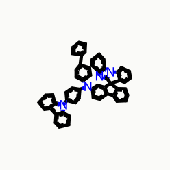 c1ccc(-c2ccc(N(c3ccc(-n4c5ccccc5c5ccccc54)cc3)c3ccc4c(c3)C3(c5ccccc5-4)c4ccccc4-n4c3nc3ccccc34)cc2)cc1